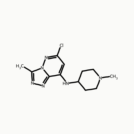 Cc1nnc2c(NC3CCN(C)CC3)cc(Cl)nn12